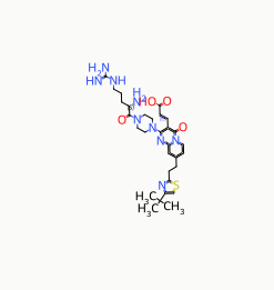 CC(C)(C)c1csc(CCc2ccn3c(=O)c(/C=C/C(=O)O)c(N4CCN(C(=O)[C@@H](N)CCCNC(=N)N)CC4)nc3c2)n1